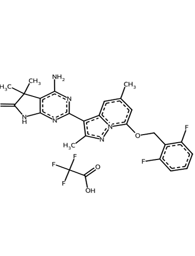 Cc1cc(OCc2c(F)cccc2F)n2nc(C)c(-c3nc(N)c4c(n3)NC(=O)C4(C)C)c2c1.O=C(O)C(F)(F)F